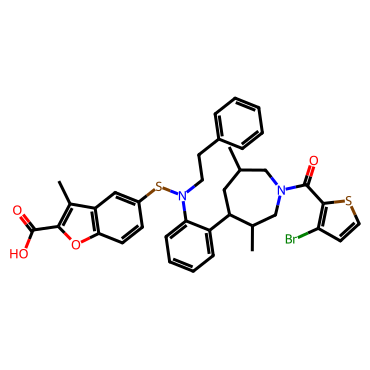 Cc1c(C(=O)O)oc2ccc(SN(CCc3ccccc3)c3ccccc3C3CC(C)CN(C(=O)c4sccc4Br)CC3C)cc12